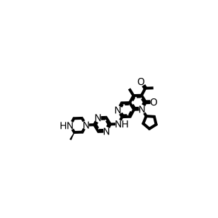 CC(=O)c1c(C)c2cnc(Nc3cnc(N4CCN[C@H](C)C4)cn3)cc2n(C2CCCC2)c1=O